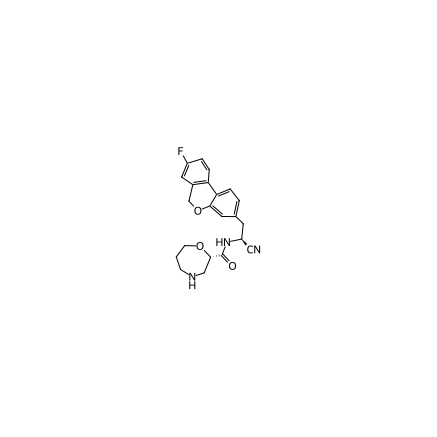 N#C[C@H](Cc1ccc2c(c1)OCc1cc(F)ccc1-2)NC(=O)[C@@H]1CNCCCO1